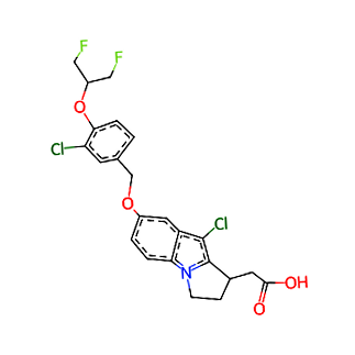 O=C(O)CC1CCn2c1c(Cl)c1cc(OCc3ccc(OC(CF)CF)c(Cl)c3)ccc12